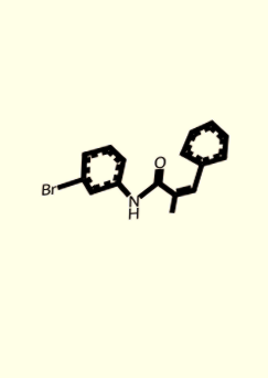 CC(=Cc1ccccc1)C(=O)Nc1cccc(Br)c1